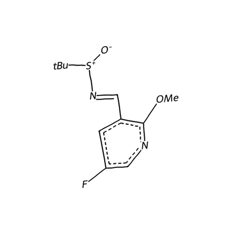 COc1ncc(F)cc1C=N[S+]([O-])C(C)(C)C